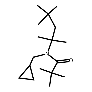 CC(C)(C)CC(C)(C)N(CC1CC1)C(=O)C(C)(C)C